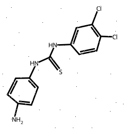 Nc1ccc(NC(=S)Nc2ccc(Cl)c(Cl)c2)cc1